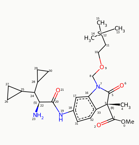 COC(=O)[C@@]1(C)C(=O)N(COCC[Si](C)(C)C)c2cc(NC(=O)[C@@H](N)C(C3CC3)C3CC3)ccc21